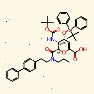 CCCN(CCc1ccc(-c2ccccc2)cc1)C(=O)[C@@H]1OC(C(=O)O)=C[C@@H](O[Si](c2ccccc2)(c2ccccc2)C(C)(C)C)[C@H]1NC(=O)OC(C)(C)C